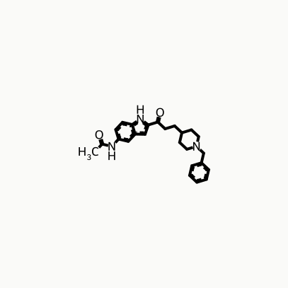 CC(=O)Nc1ccc2[nH]c(C(=O)CCC3CCN(Cc4ccccc4)CC3)cc2c1